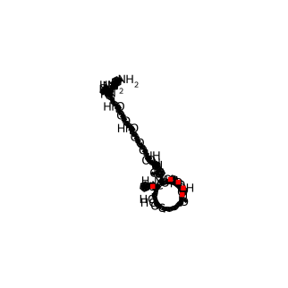 CO[C@H]1C[C@@H]2CC[C@@H](C)[C@@](O)(O2)C(=O)C(=O)N2CCCC[C@H]2C(=O)O[C@H]([C@H](N)C[C@@H]2CC[C@H](n3cc(COC(=O)NCCOCCOCCOCCC(=O)NCCOCCOCCC(=O)NCCCCn4nc(-c5cc6cc(N)ccc6[nH]5)c5c(N)ncnc54)nn3)[C@H](OC)C2)C/C(=N/OCc2ccccc2)[C@H](C)/C=C(\C)[C@@H](O)[C@@H](O)C(=O)[C@H](C)C[C@H](C)/C=C/C=C/C=C/1C